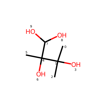 CC(C)(O)C(C)(O)C(O)O